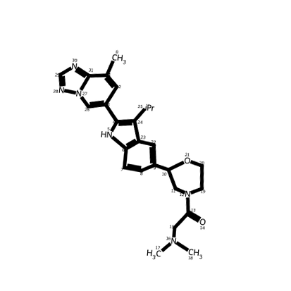 Cc1cc(-c2[nH]c3ccc(C4CN(C(=O)CN(C)C)CCO4)cc3c2C(C)C)cn2ncnc12